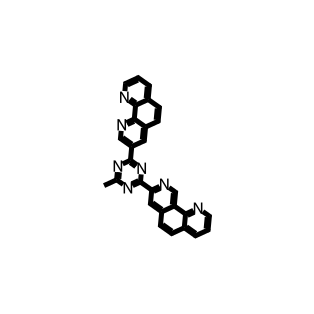 Cc1nc(-c2cnc3c(ccc4cccnc43)c2)nc(-c2cc3ccc4cccnc4c3cn2)n1